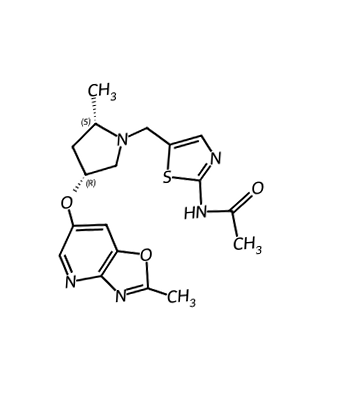 CC(=O)Nc1ncc(CN2C[C@H](Oc3cnc4nc(C)oc4c3)C[C@@H]2C)s1